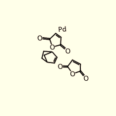 C1=CC2CCC1C2.O=C1C=CC(=O)O1.O=C1C=CC(=O)O1.[Pd]